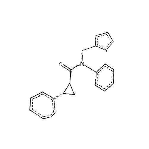 O=C([C@H]1C[C@@H]1c1ccccc1)N(Cc1cccs1)c1ccccc1